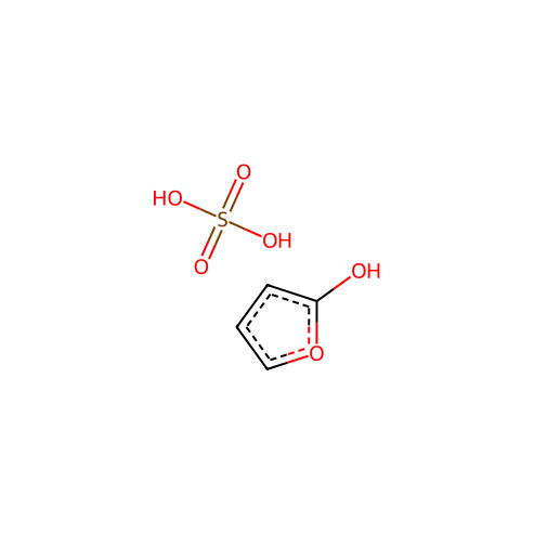 O=S(=O)(O)O.Oc1ccco1